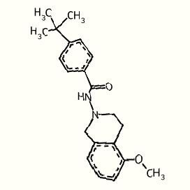 COc1cccc2c1CCN(NC(=O)c1ccc(C(C)(C)C)cc1)C2